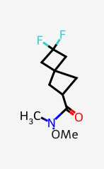 CON(C)C(=O)C1CC2(C1)CC(F)(F)C2